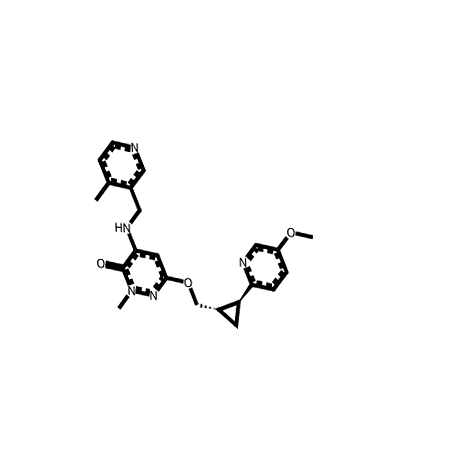 COc1ccc([C@H]2C[C@@H]2COc2cc(NCc3cnccc3C)c(=O)n(C)n2)nc1